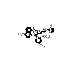 CCOC(=O)O[C@@H]1C[C@H](C)CCN1C(=O)[C@H](CCCNc1ncc[nH]1)NS(=O)(=O)c1cccc2c1NCCC2C